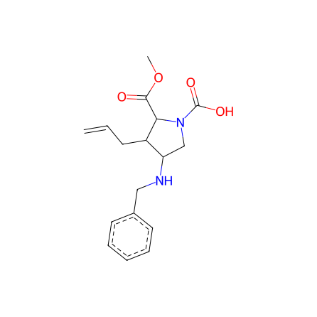 C=CCC1C(NCc2ccccc2)CN(C(=O)O)C1C(=O)OC